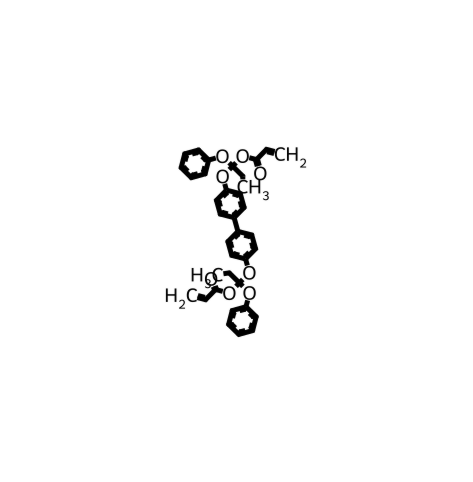 C=CC(=O)OC(CC)(Oc1ccccc1)Oc1ccc(-c2ccc(OC(CC)(OC(=O)C=C)Oc3ccccc3)cc2)cc1